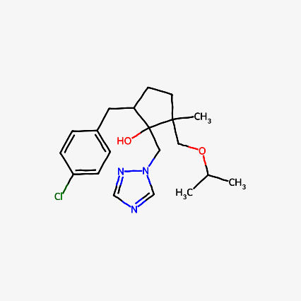 CC(C)OCC1(C)CCC(Cc2ccc(Cl)cc2)C1(O)Cn1cncn1